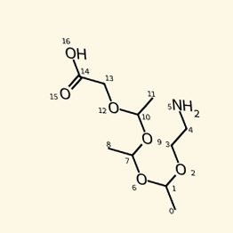 CC(OCCN)OC(C)OC(C)OCC(=O)O